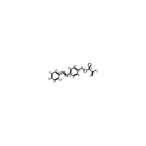 C=C(C)C(=O)OCc1ccc(N=Nc2ccccc2)cc1